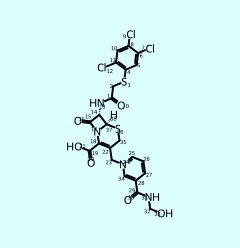 O=C(CSc1cc(Cl)c(Cl)cc1Cl)N[C@H]1C(=O)N2C(C(=O)O)=C(C[n+]3cccc(C(=O)NCO)c3)CS[C@H]12